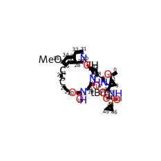 C=C[C@@H]1C[C@]1(NC(=O)[C@@H]1C[C@@H]2CN1C(=O)[C@H](C(C)(C)C)NC(=O)OCCCCCc1cc3c(nccc3cc1OC)O2)C(=O)NS(=O)(=O)C1CC1